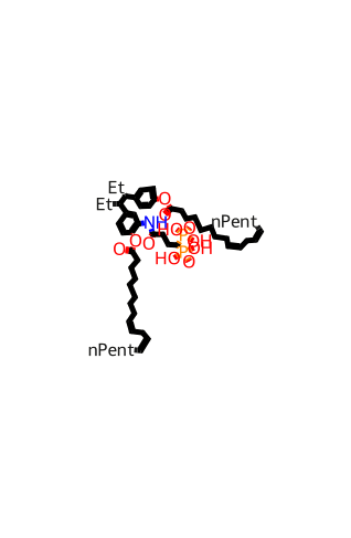 CCCCC/C=C\C/C=C\CCCCCCCC(=O)Oc1ccc(C(CC)C(CC)c2ccc(OC(=O)CCCCCCC/C=C\C/C=C\CCCCC)c(NC(=O)CCC(P(=O)(O)O)P(=O)(O)O)c2)cc1